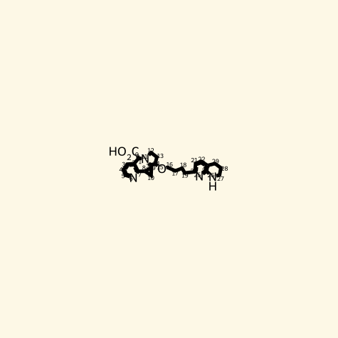 O=C(O)C(c1cccnc1C1CC1)N1CCC(OCCCCc2ccc3c(n2)NCCC3)C1